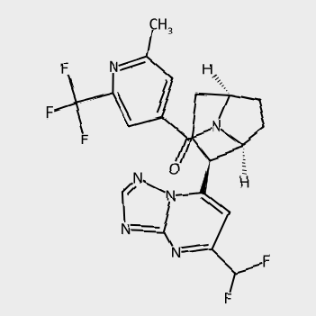 Cc1cc(C(=O)N2[C@H]3CC[C@H](c4cc(C(F)F)nc5ncnn45)[C@@H]2CC3)cc(C(F)(F)F)n1